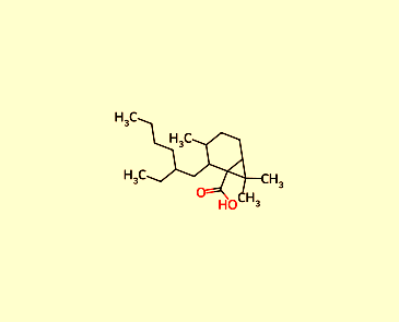 CCCCC(CC)CC1C(C)CCC2C(C)(C)C12C(=O)O